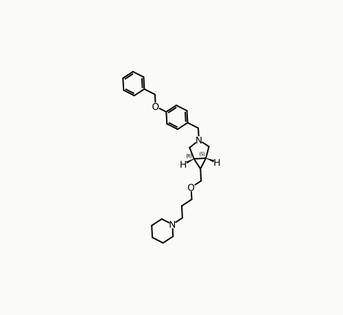 c1ccc(COc2ccc(CN3C[C@@H]4C(COCCCN5CCCCC5)[C@@H]4C3)cc2)cc1